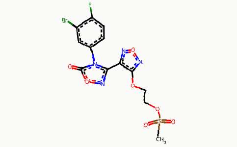 CS(=O)(=O)OCCOc1nonc1-c1noc(=O)n1-c1ccc(F)c(Br)c1